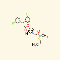 C=C(S/C=C\C)C(=O)C[N+]12CCC(CC1)[C@@H](OC(=O)CC(c1cccc(F)c1)c1cccc(F)c1)C2